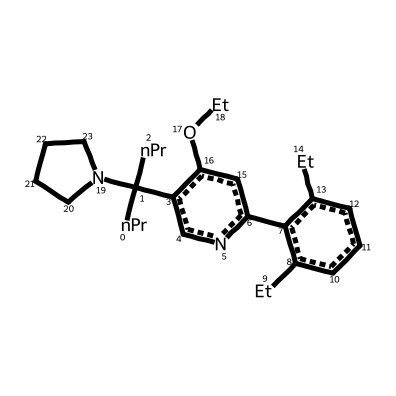 CCCC(CCC)(c1cnc(-c2c(CC)cccc2CC)cc1OCC)N1CCCC1